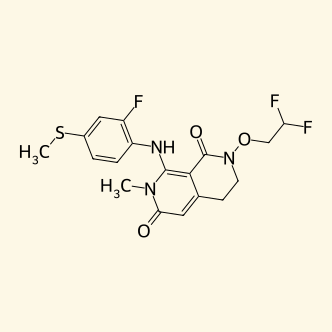 CSc1ccc(Nc2c3c(cc(=O)n2C)CCN(OCC(F)F)C3=O)c(F)c1